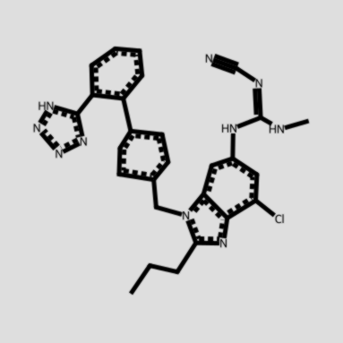 CCCc1nc2c(Cl)cc(N/C(=N\C#N)NC)cc2n1Cc1ccc(-c2ccccc2-c2nnn[nH]2)cc1